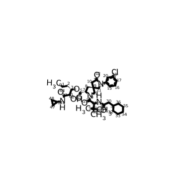 CCC[C@H](OC(=O)[C@@H]1C[C@]2(CC(=O)N(c3cccc(Cl)c3)C2)CN1C(=O)C(NC(=O)CC1CCCCC1)C(C)(C)C)C(O)C(=O)NC1CC1